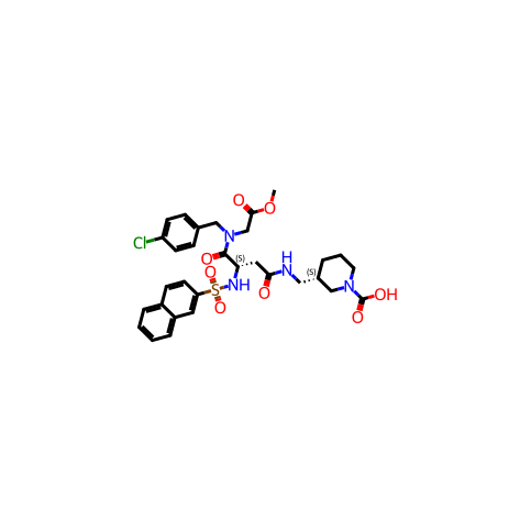 COC(=O)CN(Cc1ccc(Cl)cc1)C(=O)[C@H](CC(=O)NC[C@@H]1CCCN(C(=O)O)C1)NS(=O)(=O)c1ccc2ccccc2c1